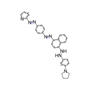 c1ccc2c(NNc3ccc(N4CCCC4)s3)ccc(/N=N/c3ccc(/N=N/c4nccs4)cc3)c2c1